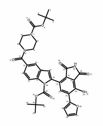 CC(C)(C)OC(=O)N1CCN(C(=O)c2ccc3c(c2)cc(-c2cc(-c4ccco4)c(N)c4c2C(=O)NC4=O)n3C(=O)OC(C)(C)C)CC1